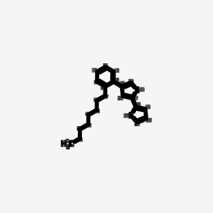 CCCCCCCCc1ccccc1-c1csc(-c2cccs2)c1